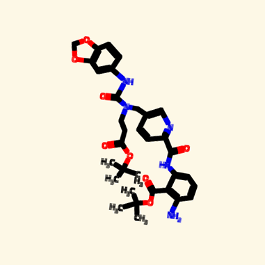 CC(C)(C)OC(=O)CCN(Cc1ccc(C(=O)Nc2cccc(N)c2C(=O)OC(C)(C)C)nc1)C(=O)Nc1ccc2c(c1)OCO2